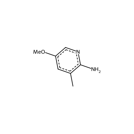 COc1cnc(N)c(C)c1